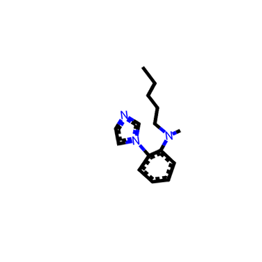 CCCCCN(C)c1ccccc1-n1ccnc1